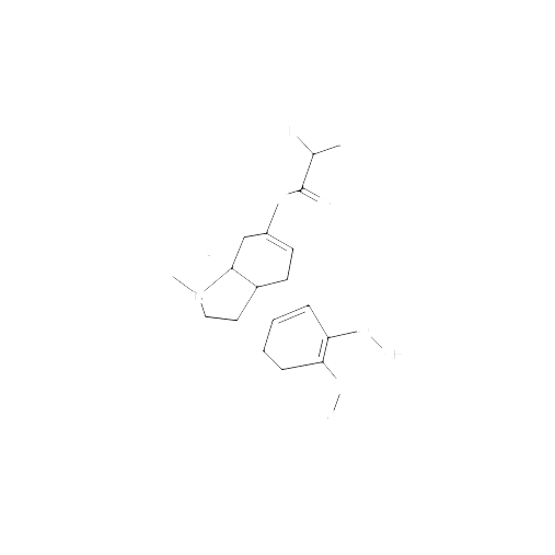 COC1=C(OC)CCC([C@@]23CC=C(OC(=O)C(F)F)C[C@@H]2N(C)CC3)=C1